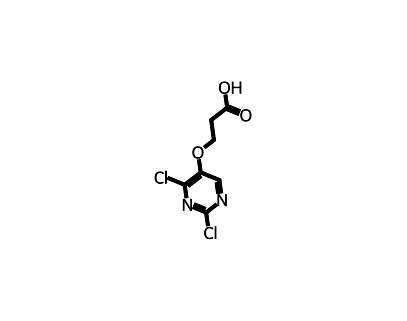 O=C(O)CCOc1cnc(Cl)nc1Cl